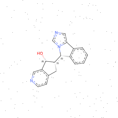 O[C@H]1c2cnccc2C[C@H]1[C@H]1c2ccccc2-c2cncn21